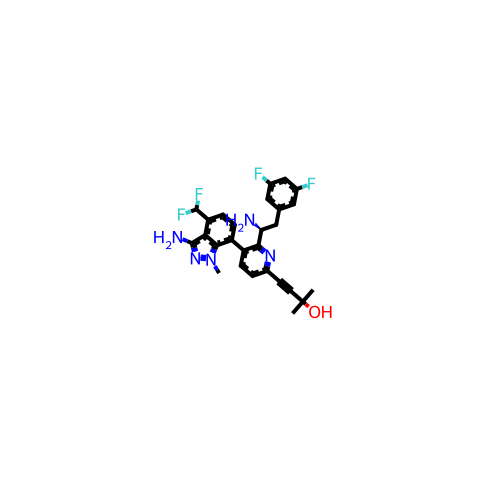 Cn1nc(N)c2c(C(F)F)ccc(-c3ccc(C#CC(C)(C)O)nc3[C@@H](N)Cc3cc(F)cc(F)c3)c21